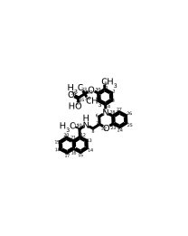 Cc1ccc(N2CC(CN[C@H](C)c3cccc4ccccc34)Oc3ccccc32)cc1OC(C)(C)C(=O)O